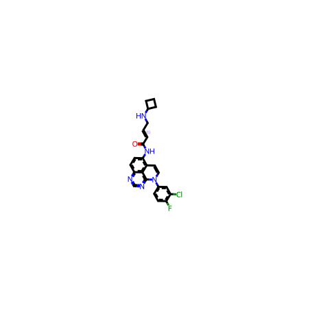 O=C(/C=C/CNC1CCC1)Nc1ccc2ncnc3c2c1C=CN3c1ccc(F)c(Cl)c1